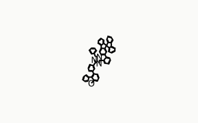 c1ccc(-c2nc(-c3cccc(-c4cccc5oc6ccccc6c45)c3)nc(-c3ccccc3-c3ccc4c(c3)C3(c5ccccc5-c5ccccc53)c3ccccc3-4)n2)cc1